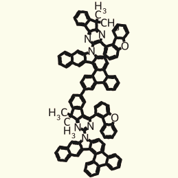 CC1(C)c2ccccc2-c2nc(-n3c4cc5ccccc5cc4c4c5c(ccc43)c3ccccc3c3cc(-c4ccc6c(c4)-c4c(-c7cccc8oc9ccccc9c78)nc(-n7c8cc9ccccc9cc8c8c9c%10ccccc%10c%10ccccc%10c9ccc87)nc4C6(C)C)ccc35)c(-c3cccc4c3C3C=CC=CC3O4)nc21